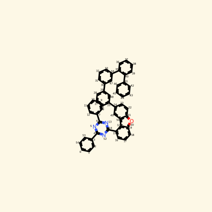 c1ccc(-c2nc(-c3ccccc3)nc(-c3cccc4oc5ccc(-c6cccc(-c7cccc(-c8ccccc8-c8ccccc8)c7)c6)cc5c34)n2)cc1